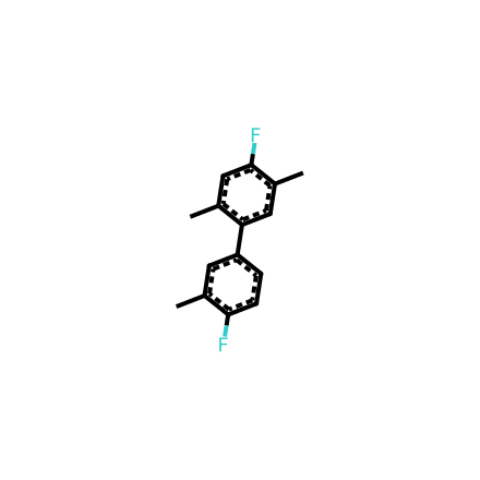 Cc1cc(-c2cc(C)c(F)cc2C)ccc1F